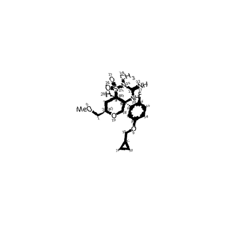 COC[C@H]1C[C@@H]2[C@](c3cc(OCC4CC4)ccc3F)(CO1)NC(=N)N(C)S2(=O)=O